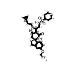 O=C1N[C@@]2(CCc3cc(OCC(F)(F)F)ccc32)Cc2nn(CCC3CC3)c(CNS(=O)(=O)C3CCOCC3)c21